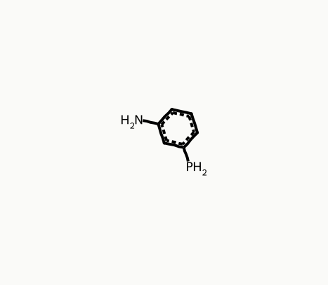 Nc1cccc(P)c1